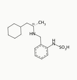 C[C@@H](CC1CCCCC1)NCc1ccccc1NS(=O)(=O)O